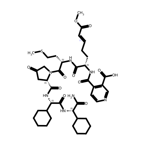 COC(=O)/C=C/CC[C@H](NC(=O)c1ccncc1C(=O)O)C(=O)N[C@@H](CCSC)C(=O)N1CC(=O)C[C@H]1C(=O)N[C@H](C(=O)N[C@H](C(N)=O)C1CCCCC1)C1CCCCC1